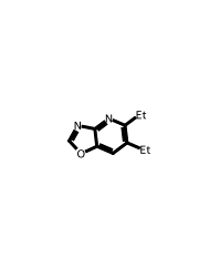 CCc1cc2ocnc2nc1CC